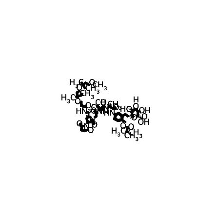 CCC(C)(CCOC)OCCC(C)(CC)OCCC(=O)NC[C@@H]1C[C@@H](N2C(=O)C=CC2=O)C(=O)N1CC(=O)NC(C(=O)N[C@@H](C)C(=O)Nc1ccc(COC(=O)C(C)(C)C)c(CC[C@@H]2O[C@H](C(=O)O)[C@@H](O)[C@H](O)[C@H]2O)c1)C(C)C